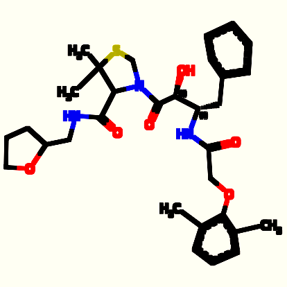 Cc1cccc(C)c1OCC(=O)N[C@@H](Cc1ccccc1)[C@H](O)C(=O)N1CSC(C)(C)C1C(=O)NCC1CCCO1